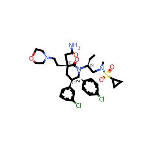 CC[C@@H](CN(C)S(=O)(=O)C1CC1)N1C(=O)[C@@](CCN2CCOCC2)(CC(N)=O)C[C@H](c2cccc(Cl)c2)[C@H]1c1ccc(Cl)cc1